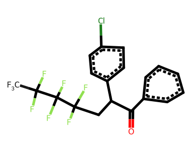 O=C(c1ccccc1)C(CC(F)(F)C(F)(F)C(F)(F)C(F)(F)F)c1ccc(Cl)cc1